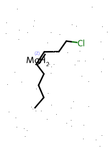 CCCC/C=C\CCCl.[MgH2]